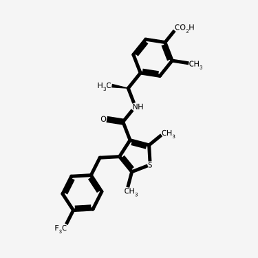 Cc1cc([C@H](C)NC(=O)c2c(C)sc(C)c2Cc2ccc(C(F)(F)F)cc2)ccc1C(=O)O